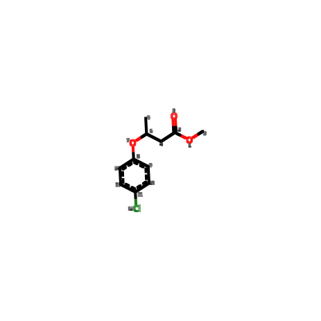 COC(=O)CC(C)Oc1ccc(Cl)cc1